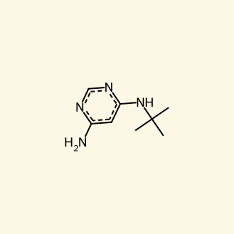 CC(C)(C)Nc1cc(N)ncn1